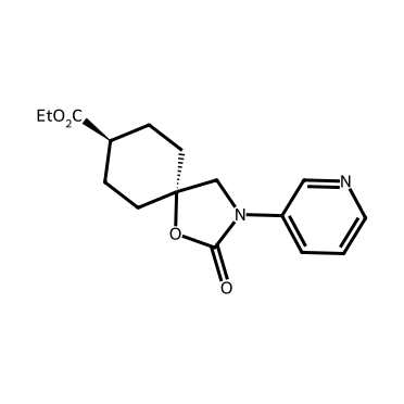 CCOC(=O)[C@H]1CC[C@]2(CC1)CN(c1cccnc1)C(=O)O2